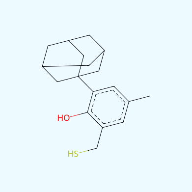 Cc1cc(CS)c(O)c(C23CC4CC(CC(C4)C2)C3)c1